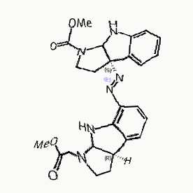 COC(=O)N1CC[C@@H]2c3cccc(/N=N/[C@]45CCN(C(=O)OC)C4Nc4ccccc45)c3NC21